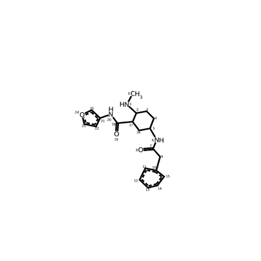 CNC1CCC(NC(=O)Cc2ccccc2)CC1C(=O)Nc1ccoc1